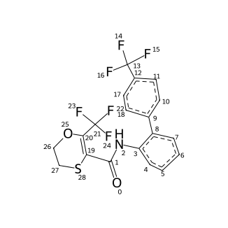 O=C(Nc1ccccc1-c1ccc(C(F)(F)F)cc1)C1=C(C(F)(F)F)OCCS1